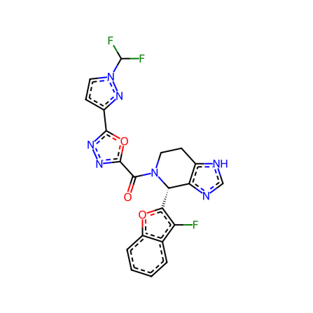 O=C(c1nnc(-c2ccn(C(F)F)n2)o1)N1CCc2[nH]cnc2[C@@H]1c1oc2ccccc2c1F